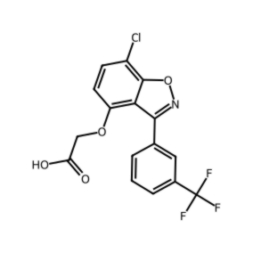 O=C(O)COc1ccc(Cl)c2onc(-c3cccc(C(F)(F)F)c3)c12